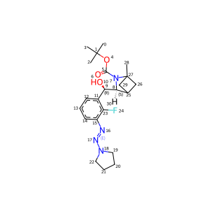 CC(C)(C)OC(=O)N1[C@H]([C@H](O)c2cccc(/N=N/N3CCCC3)c2F)C2CC1(C)C2